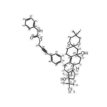 CC1(C)COC2(CCC3=C4[C@@H](CC[C@@]3(O)C2)[C@@H]2CC[C@@](O)(C(F)(F)C(F)(F)F)[C@@]2(C)C[C@@H]4c2ccc(C#CCOC(=O)Nc3ccccc3)cc2)OC1